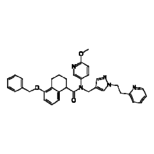 COc1ccc(N(Cc2cnn(CCc3ccccn3)c2)C(=O)C2CCCc3c(OCc4ccccc4)cccc32)cn1